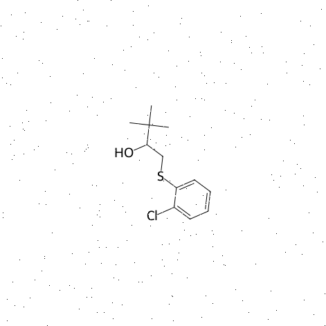 CC(C)(C)C(O)CSc1ccccc1Cl